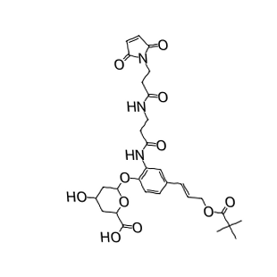 CC(C)(C)C(=O)OC/C=C/c1ccc(OC2CC(O)CC(C(=O)O)O2)c(NC(=O)CCNC(=O)CCN2C(=O)C=CC2=O)c1